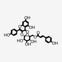 O=C(/C=C/c1ccc(O)cc1)OCC1O[C@@H](Oc2c(-c3ccc(O)cc3)oc3cc(O)cc(O)c3c2=O)[C@@H](O)C(O)[C@@H]1O